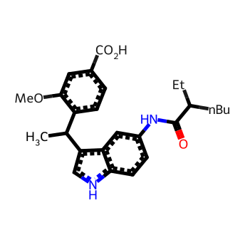 CCCCC(CC)C(=O)Nc1ccc2[nH]cc(C(C)c3ccc(C(=O)O)cc3OC)c2c1